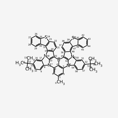 Cc1cc2c3c(c1)-n1c4ccc(C(C)(C)C)cc4n4c5c(ccc6sc7ccccc7c65)c(c14)B3c1c3ccc4sc5ccccc5c4c3n3c4cc(C(C)(C)C)ccc4n-2c13